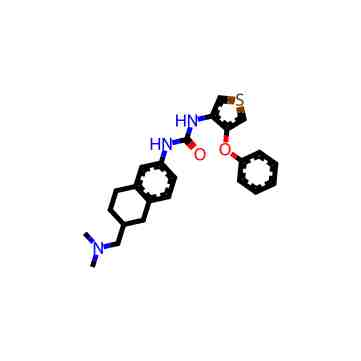 CN(C)CC1CCc2cc(NC(=O)Nc3cscc3Oc3ccccc3)ccc2C1